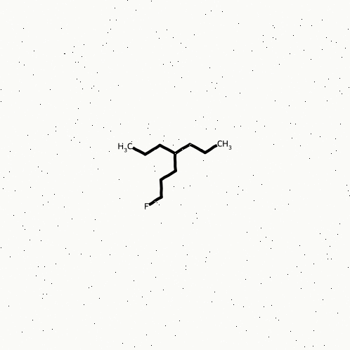 CCCC(CCC)CCCF